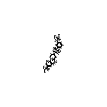 CC(C)([C@@H]1CCN(c2ncc(C(F)(F)F)cc2F)C(=O)C1)S(=O)(=O)c1cccc(OC(F)(F)F)c1